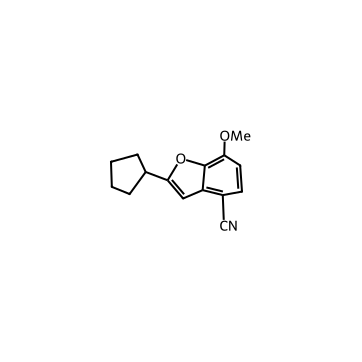 COc1ccc(C#N)c2cc(C3CCCC3)oc12